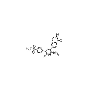 Nc1nc(F)c(-c2ccc(S(=O)(=O)C(F)(F)F)cc2)cc1-c1ccc2c(c1)CCNC2=O